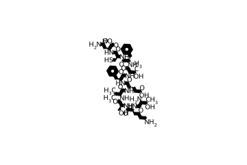 CC(C)[C@H](NC(=O)[C@H](CO)NC(=O)[C@H](CCCCN)NC(=O)[C@@H](N)[C@@H](C)O)C(=O)N[C@@H](CCC(=O)O)C(=O)N[C@@H](Cc1ccccc1)C(=O)N[C@H](C(=O)N[C@@H](Cc1ccccc1)C(=O)N[C@@H](CS)C(=O)N[C@@H](CC(N)=O)C(=O)O)[C@@H](C)O